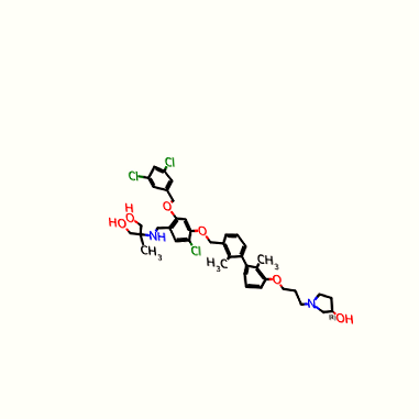 Cc1c(COc2cc(OCc3cc(Cl)cc(Cl)c3)c(CNC(C)(CO)CO)cc2Cl)cccc1-c1cccc(OCCCN2CC[C@@H](O)C2)c1C